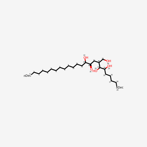 CCCCCCCCCCCCCCCCCCCCCCC(O)C(=O)CC(CO)C(O)C(O)CCCCCCCCCCCCCC